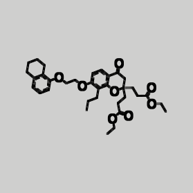 CCCc1c(OCCOc2cccc3c2CCCC3)ccc2c1OC(CCC(=O)OCC)(CCC(=O)OCC)CC2=O